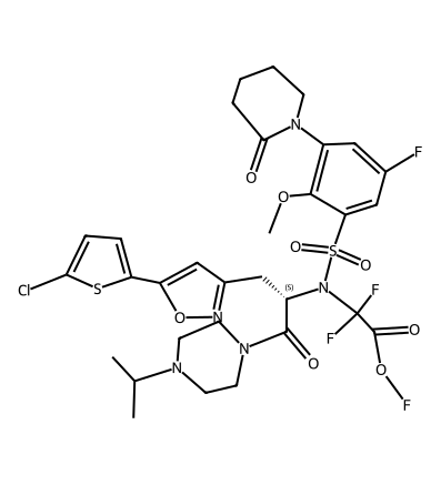 COc1c(N2CCCCC2=O)cc(F)cc1S(=O)(=O)N([C@@H](Cc1cc(-c2ccc(Cl)s2)on1)C(=O)N1CCN(C(C)C)CC1)C(F)(F)C(=O)OF